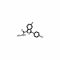 CCCNC(=O)c1oc(-c2ccc(Cl)cc2)c2cc(C)ccc12